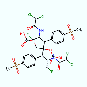 CS(=O)(=O)c1ccc([C@H]([C@@H](CF)NC(=O)C(Cl)Cl)C(COC(=O)O)(OC(=O)O)[C@H](c2ccc(S(C)(=O)=O)cc2)[C@@H](CF)NC(=O)C(Cl)Cl)cc1